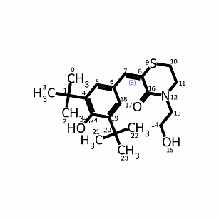 CC(C)(C)c1cc(/C=C2/SCCN(CCO)C2=O)cc(C(C)(C)C)c1O